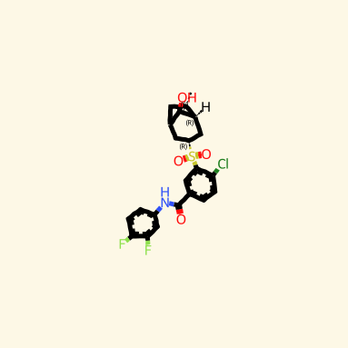 C[C@H]1CC2C[C@@H](S(=O)(=O)c3cc(C(=O)Nc4ccc(F)c(F)c4)ccc3Cl)C[C@H]1[C@]2(C)O